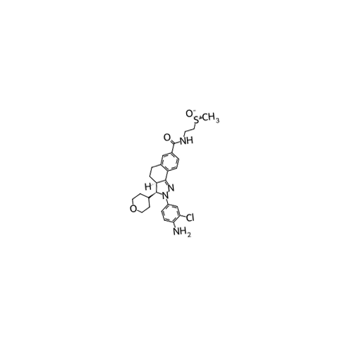 C[S+]([O-])CCNC(=O)c1ccc2c(c1)CC[C@H]1C2=NN(c2ccc(N)c(Cl)c2)[C@H]1C1CCOCC1